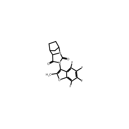 Cc1oc2c(F)c(F)c(F)c(F)c2c1N1C(=O)C2C3CCC(C3)N2C1=O